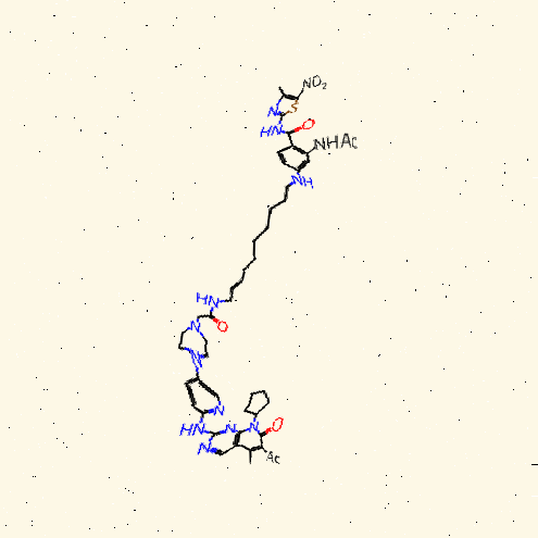 CC(=O)Nc1cc(NCCCCCCCCCCNC(=O)CN2CCN(c3ccc(Nc4ncc5c(C)c(C(C)=O)c(=O)n(C6CCCC6)c5n4)nc3)CC2)ccc1C(=O)Nc1nc(C)c([N+](=O)[O-])s1